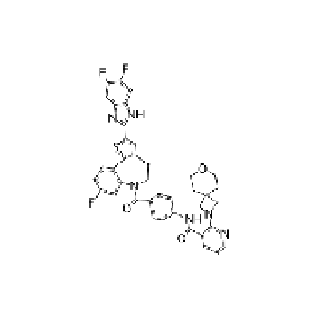 O=C(Nc1ccc(C(=O)N2CCc3cc(-c4nc5cc(F)c(F)cc5[nH]4)sc3-c3ccc(F)cc32)cc1)c1cccnc1N1CC2(CCOCC2)C1